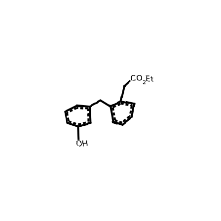 CCOC(=O)Cc1ccccc1Cc1cccc(O)c1